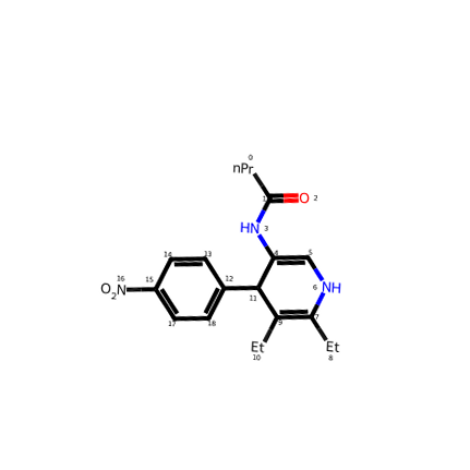 CCCC(=O)NC1=CNC(CC)=C(CC)C1c1ccc([N+](=O)[O-])cc1